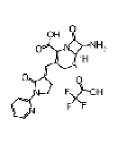 N[C@@H]1C(=O)N2C(C(=O)O)=C(/C=C3\CCN(c4ccccn4)C3=O)CS[C@H]12.O=C(O)C(F)(F)F